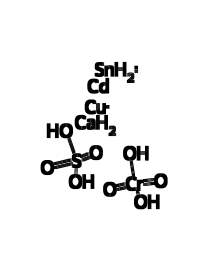 O=S(=O)(O)O.[CaH2].[Cd].[Cu].[O]=[Cr](=[O])([OH])[OH].[SnH2]